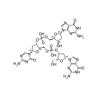 Nc1ncn([C@H]2CC(OP(=O)(O)OC[C@H]3O[C@@H](n4cnc5c(=O)[nH]c(N)nc54)C[C@H]3O)[C@@H](COP(=O)(O)OC3C[C@H](n4cnc5c(=O)[nH]c(N)nc54)O[C@@H]3CO)O2)c(=O)n1